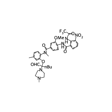 CCCCC(C=O)(Oc1cc(C)ccc1N(C)C(=O)c1ccc(NC(=O)c2cccc([N+](=O)[O-])c2NC(=O)C(F)(F)F)c(OC)c1)N1CCN(C)CC1